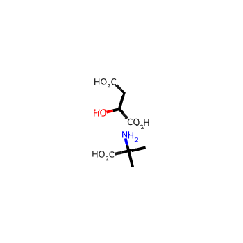 CC(C)(N)C(=O)O.O=C(O)CC(O)C(=O)O